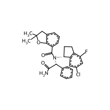 CC1(C)Cc2cccc(C(=O)N([C@@H]3CCc4c(F)cc(Cl)cc43)[C@@H](C(N)=O)c3ccccc3)c2O1